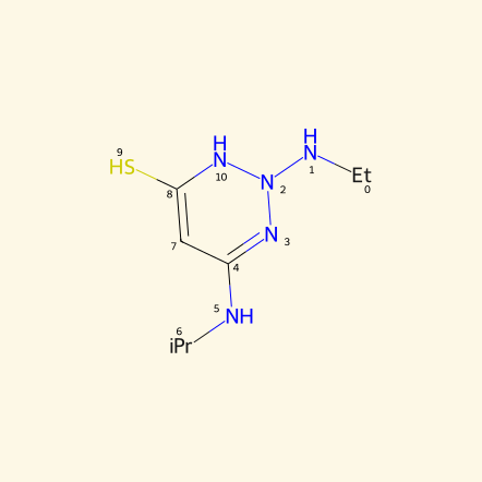 CCNN1N=C(NC(C)C)C=C(S)N1